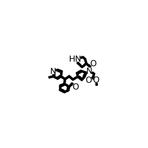 COC(=O)CN(C(=O)C1CCNCC1)c1ccc(CCC(c2ccnc(C)c2)c2ccccc2C=O)cc1